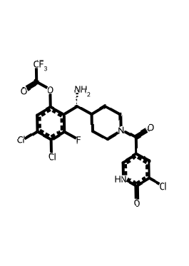 N[C@@H](c1c(OC(=O)C(F)(F)F)cc(Cl)c(Cl)c1F)C1CCN(C(=O)c2c[nH]c(=O)c(Cl)c2)CC1